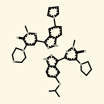 CC(C)Oc1ccc2[nH]nc(-c3cc(N4CCCC4)c(=O)n(C)n3)c2c1.Cn1nc(-c2n[nH]c3ccc(-n4cccc4)cc23)cc(N2CCOCC2)c1=O